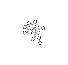 c1ccc(-c2cccc(N(c3ccccc3)c3cc4c(s3)C3(c5ccccc5N(c5ccccc5)c5ccccc53)c3cc(N(c5ccccc5)c5cccc(-c6ccccc6)c5)sc3C43c4ccccc4N(c4ccccc4)c4ccccc43)c2)cc1